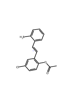 Bc1ccccc1/C=C/c1cc(Cl)ccc1OC(C)=O